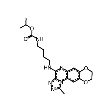 Cc1nnc2c(NCCCCNC(=O)OC(C)C)nc3cc4c(cc3n12)OCCO4